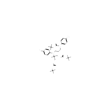 CC(C)(C)OC(=O)OCC(C)(COC(=O)OC(C)(C)C)N(CCCN(C(=O)OC(C)(C)C)c1ccc(N)cc1)c1ccc(N)cc1